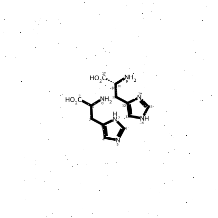 NC(Cc1cnc[nH]1)C(=O)O.N[C@H](Cc1c[nH]cn1)C(=O)O